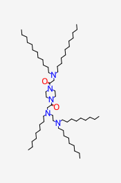 CCCCCCCCCCCCN(CCCCCCCCCCCC)CC(=O)N1CCN(C(=O)CN(CCCCCCCCC)CCN(CCCCCCCCC)CCCCCCCCC)CC1